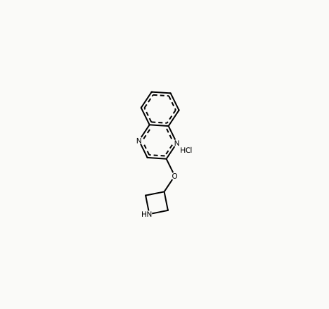 Cl.c1ccc2nc(OC3CNC3)cnc2c1